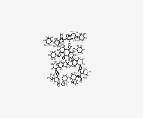 Cc1cc(-c2ccc(N3C(=O)CC4(CCCC4)C3=O)c(C)c2)ccc1N1C(=O)CC2(CCCC2)C1=O.O=C1CCCc2cc3c(cc21)CC1(C3)Cc2cc3c(cc2C1)C(=O)CCC3.O=C1c2cccc(Oc3ccccc3)c2C(=O)c2cccc(Oc3ccccc3)c21.c1ccc(-c2ccc3c(c2)N[C@@H]([C@@H]2Nc4cc(-c5ccccc5)ccc4O2)O3)cc1